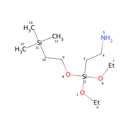 CCO[Si](CCN)(OCC)OCC[Si](C)(C)C